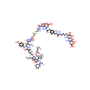 CCCC(=O)OCN(C(=O)[C@@H](NC(=O)[C@H]1CCCCN1C)C(C)CC)[C@H](CCc1nc(C(=O)N[C@@H](Cc2ccc(O)cc2)C[C@H](C)C(=O)NNC(=O)OCCSSCCNC(=O)[C@H](C)NC(=O)[C@H](CC(=O)O)NC(=O)Cc2ccc(CNC(=O)NCCCC[C@H](NC(=O)N[C@@H](CC(=O)O)C(=O)O)C(=O)O)cc2)cs1)C(C)C